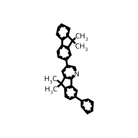 CC1(C)c2ccccc2-c2ccc(-c3cnc4c(c3)C(C)(C)c3ccc(-c5ccccc5)cc3-4)cc21